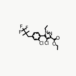 CCOC(=O)c1nn(CC)c(-c2ccc(CC(C)(C)C(F)(F)F)cc2Cl)c1Cl